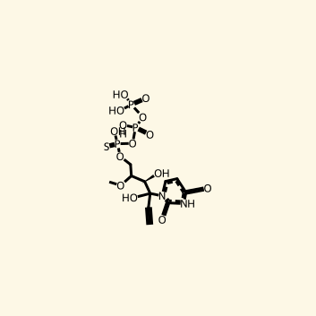 C#CC(O)([C@H](O)C(COP(O)(=S)OP(=O)(O)OP(=O)(O)O)OC)n1ccc(=O)[nH]c1=O